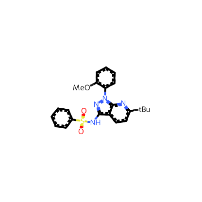 COc1ccccc1-n1nc(NS(=O)(=O)c2ccccc2)c2ccc(C(C)(C)C)nc21